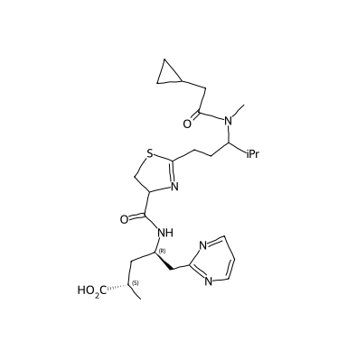 CC(C)C(CCC1=NC(C(=O)N[C@@H](Cc2ncccn2)C[C@H](C)C(=O)O)CS1)N(C)C(=O)CC1CC1